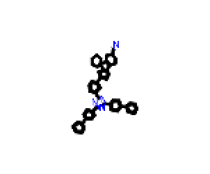 N#CC1C=CC2=C(C1)C1(CCCCC1)c1cc(-c3cccc(-c4nc(-c5ccc(-c6ccccc6)cc5)nc(-c5ccc(-c6ccccc6)cc5)n4)c3)ccc12